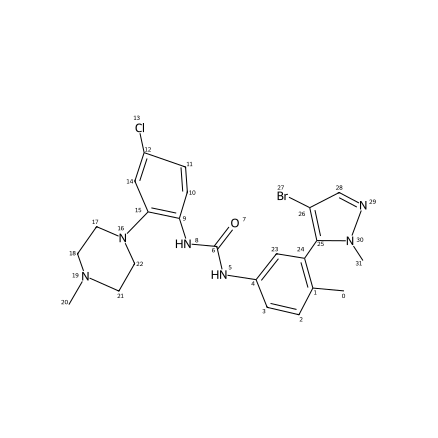 Cc1ccc(NC(=O)Nc2ccc(Cl)cc2N2CCN(C)CC2)cc1-c1c(Br)cnn1C